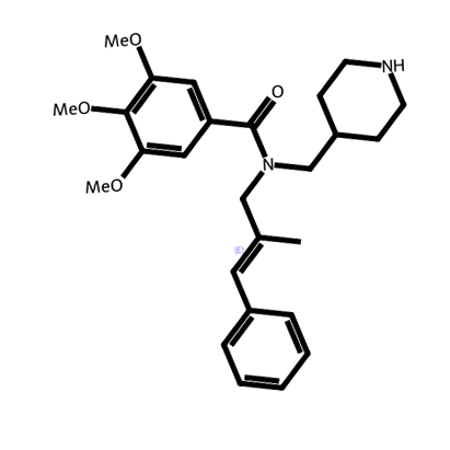 COc1cc(C(=O)N(C/C(C)=C/c2ccccc2)CC2CCNCC2)cc(OC)c1OC